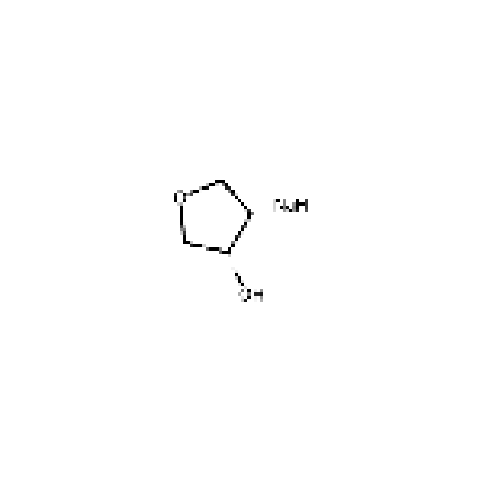 O[C@H]1CCOC1.[NaH]